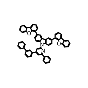 c1ccc(-c2cccc(-c3cc(-c4ccccc4)nc(-n4c5ccc(-c6cccc7c6oc6ccccc67)cc5c5cc(-c6cccc7c6oc6ccccc67)ccc54)c3)c2)cc1